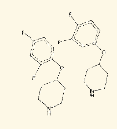 Fc1ccc(OC2CCNCC2)c(F)c1.Fc1ccc(OC2CCNCC2)cc1F